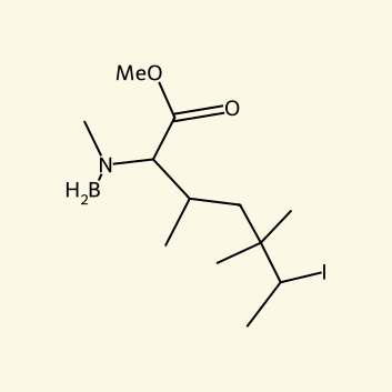 BN(C)C(C(=O)OC)C(C)CC(C)(C)C(C)I